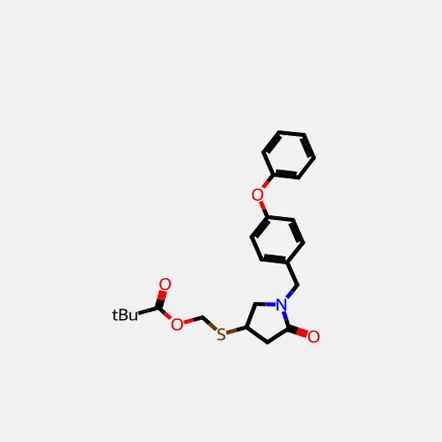 CC(C)(C)C(=O)OCSC1CC(=O)N(Cc2ccc(Oc3ccccc3)cc2)C1